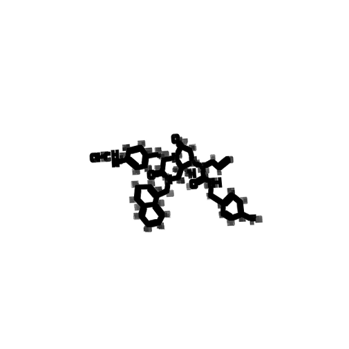 C=CCN(C(=O)NCc1ccc(F)cc1)N1CC(=O)N2[C@@H](Cc3ccc(NC=O)cc3)C(=O)N(Cc3cccc4ccccc34)C[C@@H]21